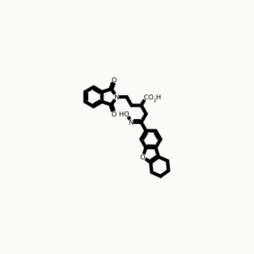 O=C(O)C(CCN1C(=O)c2ccccc2C1=O)CC(=NO)c1ccc2c3c(oc2c1)CCCC3